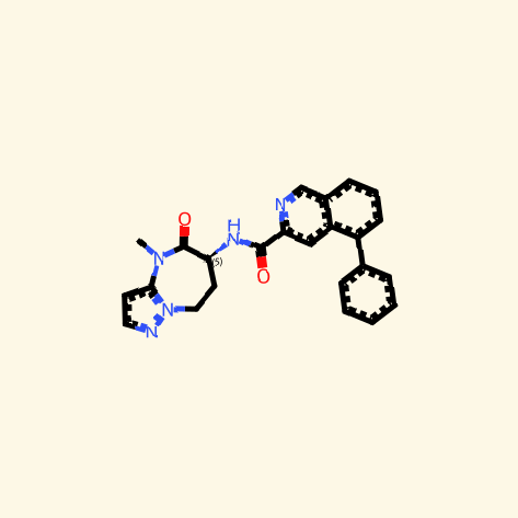 CN1C(=O)[C@@H](NC(=O)c2cc3c(-c4ccccc4)cccc3cn2)CCn2nccc21